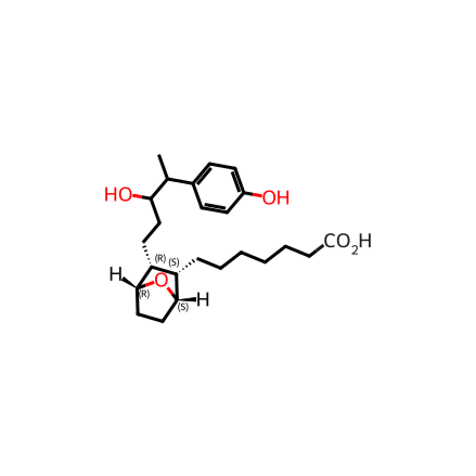 CC(c1ccc(O)cc1)C(O)CC[C@@H]1[C@H](CCCCCCC(=O)O)[C@@H]2CC[C@H]1O2